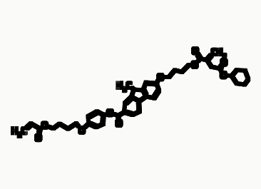 C=CC(=O)OCCCCOc1ccc(OC(=O)c2ccc3c(c2)C(C)c2cc(OCCCCOC(=O)C(=C)CC(=O)OC4CCCCC4)ccc2-3)cc1